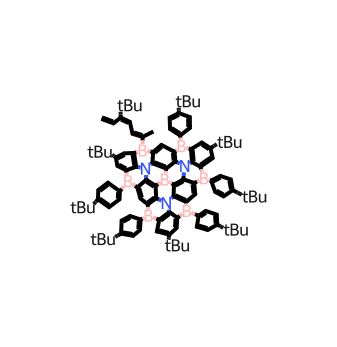 C=C/C(=C\C=C(/C)B1c2cc(C(C)(C)C)cc3c2N2c4c1cc1c5c4B4c6c2c(cc2c6N6c7c(cc(C(C)(C)C)cc7B(c7ccc(C(C)(C)C)cc7)c7cc8c(c4c76)N5c4c(cc(C(C)(C)C)cc4B8c4ccc(C(C)(C)C)cc4)B1c1ccc(C(C)(C)C)cc1)B2c1ccc(C(C)(C)C)cc1)B3c1ccc(C(C)(C)C)cc1)C(C)(C)C